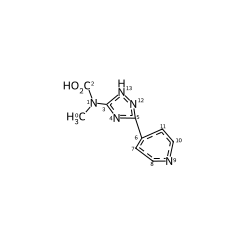 CN(C(=O)O)c1nc(-c2ccncc2)n[nH]1